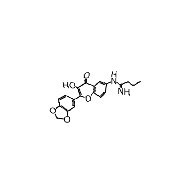 CCCC(=N)Nc1ccc2oc(-c3ccc4c(c3)OCO4)c(O)c(=O)c2c1